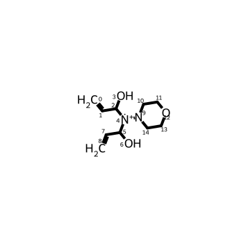 C=CC(O)[N+](C(O)C=C)N1CCOCC1